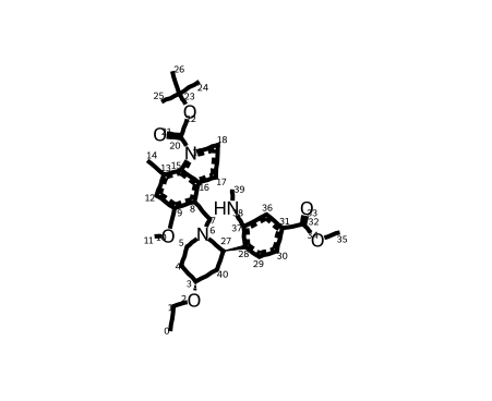 CCO[C@@H]1CCN(Cc2c(OC)cc(C)c3c2ccn3C(=O)OC(C)(C)C)[C@@H](c2ccc(C(=O)OC)cc2NC)C1